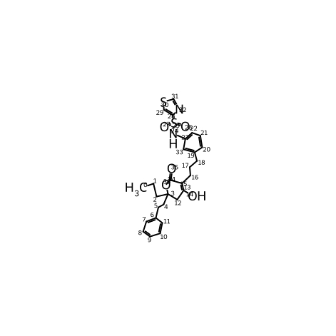 CCCC1(CCc2ccccc2)CC(O)=C(CCCc2cccc(NS(=O)(=O)c3cscn3)c2)C(=O)O1